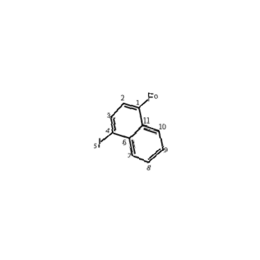 Fc1ccc(I)c2ccccc12